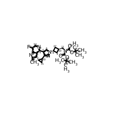 Cn1cc2c(-c3cn([C@H]4C[C@H](CN(C(=O)OC(C)(C)C)C(=O)OC(C)(C)C)C4)nc3C3CC3)ncc(F)c2n1